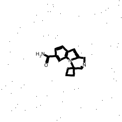 NC(=O)c1ccc2cc3n(c2c1)C1(C=NC3)CCC1